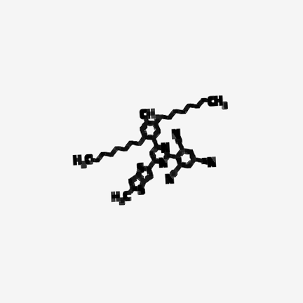 CCCCCCCCc1cc(-c2cc(-c3cc4sc(C)cc4s3)nc(-c3c(C#N)cc(C#N)cc3C#N)n2)c(CCCCCCCC)cc1C